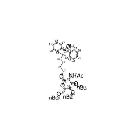 CCCCOCC1O[C@@H](OCCCCC(C)(C)[Si](O)(c2ccccc2)c2ccccc2)C(NC(C)=O)C(OCCCC)[C@H]1OCCCC